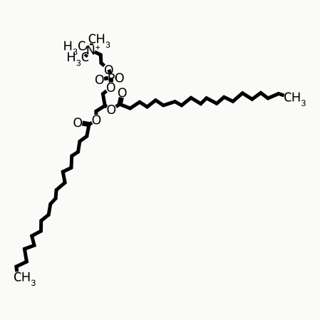 CCCCCCCCCCCCCCCCCCCC(=O)OCC(COP(=O)([O-])OCC[N+](C)(C)C)OC(=O)CCCCCCCCCCCCCCCCCCC